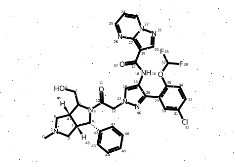 CN1C[C@@H]2[C@H](C1)C(CO)N(C(=O)Cn1cc(NC(=O)c3cnn4cccnc34)c(-c3cc(Cl)ccc3OC(F)F)n1)[C@@H]2c1ccccc1